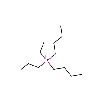 CCCC[PH](CC)(CCC)CCCC